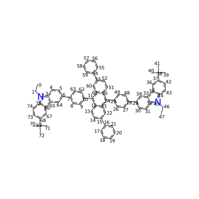 CCn1c2ccc(-c3ccc(-c4c5ccc(-c6ccccc6)cc5c(-c5ccc(-c6ccc7c(c6)c6cc(C(C)(C)C)ccc6n7CC)cc5)c5ccc(-c6ccccc6)cc45)cc3)cc2c2cc(C(C)(C)C)ccc21